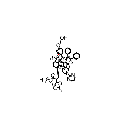 COC(=O)C(CC#Cc1ccc2c(c1)[C@]1(C(=O)N2)[C@H](C(=O)N2CCN(c3ncccn3)CC2)[C@H]2C(=O)OC(c3ccccc3)[C@H](c3ccccc3)N2[C@@H]1c1ccc(OCCO)cc1)C(=O)OC